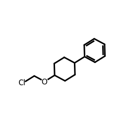 ClCOC1CCC(c2ccccc2)CC1